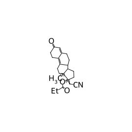 CCC(=O)O[C@@]1(CC#N)CCC2C3CCC4=CC(=O)CCC4=C3CC[C@@]21C